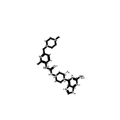 Cc1nc(CN2CCN(C)CC2)ccc1NC(=O)ON1CCN(c2nc(N)nc3scnc23)[C@@H](C)C1